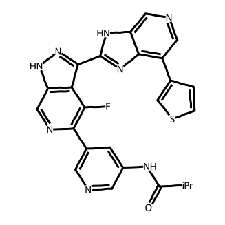 CC(C)C(=O)Nc1cncc(-c2ncc3[nH]nc(-c4nc5c(-c6ccsc6)cncc5[nH]4)c3c2F)c1